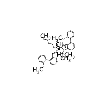 CCCCCC[Si]1(C)C2=Cc3c(-c4ccccc4CC)cccc3[CH]2[Hf]([CH3])([CH3])[CH]2C1=Cc1c(-c3ccccc3CC)cccc12